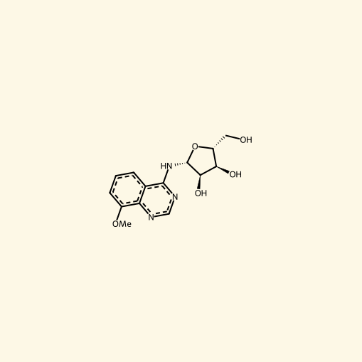 COc1cccc2c(N[C@@H]3O[C@H](CO)[C@@H](O)[C@H]3O)ncnc12